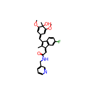 COC1=CC(=CC2=C(C)/C(=C\C(=O)NCc3cccnc3)c3cc(F)ccc32)C=C(OC)C1(C)O